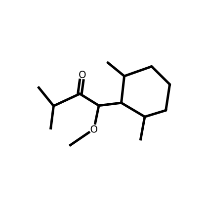 COC(C(=O)C(C)C)C1C(C)CCCC1C